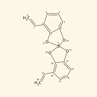 C=Cc1cccc2c1O[B-]1(O2)Oc2cccc(C=C)c2O1